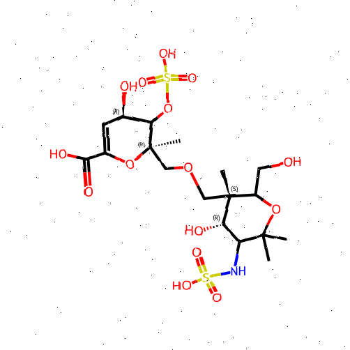 CC1(C)OC(CO)[C@@](C)(COC[C@@]2(C)OC(C(=O)O)=C[C@@H](O)C2OS(=O)(=O)O)[C@@H](O)C1NS(=O)(=O)O